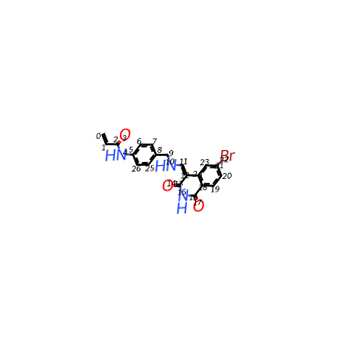 C=CC(=O)Nc1ccc(CNC=C2C(=O)NC(=O)c3ccc(Br)cc32)cc1